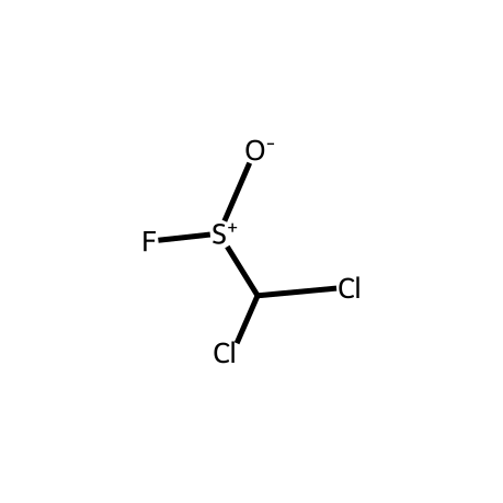 [O-][S+](F)C(Cl)Cl